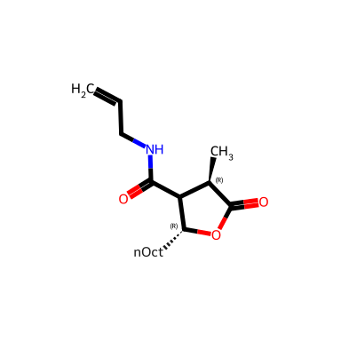 C=CCNC(=O)C1[C@@H](CCCCCCCC)OC(=O)[C@@H]1C